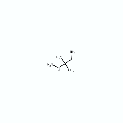 CC(C)(CN)NN